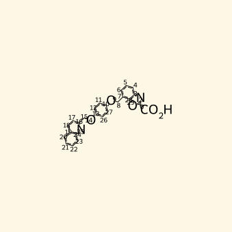 O=C(O)c1nc2cccc(COc3ccc(OCc4ccc5ccccc5n4)cc3)c2o1